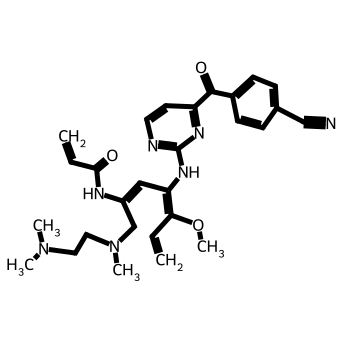 C=CC(=O)N/C(=C/C(Nc1nccc(C(=O)c2ccc(C#N)cc2)n1)=C(\C=C)OC)CN(C)CCN(C)C